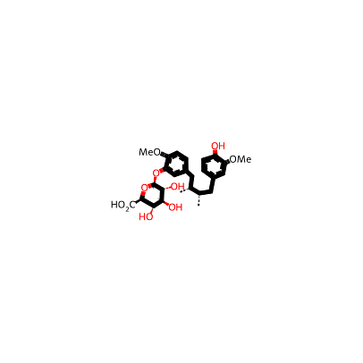 COc1cc(C[C@H](C)[C@H](C)Cc2ccc(OC)c(O[C@@H]3O[C@H](C(=O)O)[C@@H](O)[C@H](O)[C@H]3O)c2)ccc1O